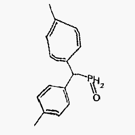 Cc1ccc(C([PH2]=O)c2ccc(C)cc2)cc1